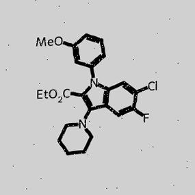 CCOC(=O)c1c(N2CCCCC2)c2cc(F)c(Cl)cc2n1-c1cccc(OC)c1